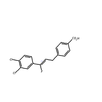 O=C(O)c1ccc(C/C=C(\F)c2ccc(Cl)c(Cl)c2)cc1